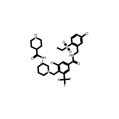 CCS(=O)(=O)c1ccc(Cl)cc1CNC(=O)c1cc(Cl)c(CN2CCC[C@H](NC(=O)C3CCNCC3)C2)c(C(F)(F)F)c1